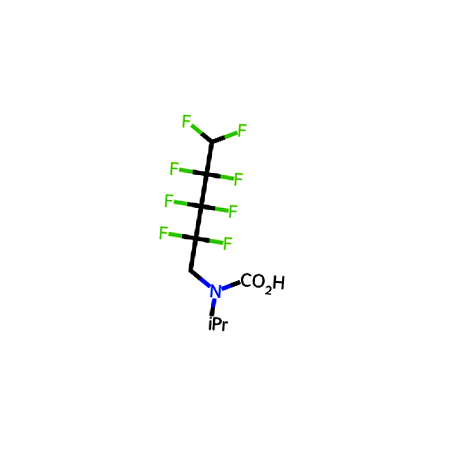 CC(C)N(CC(F)(F)C(F)(F)C(F)(F)C(F)F)C(=O)O